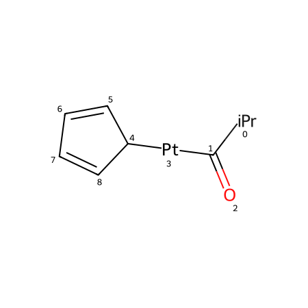 CC(C)[C](=O)[Pt][CH]1C=CC=C1